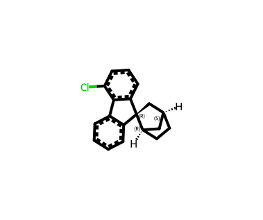 Clc1cccc2c1-c1ccccc1[C@]21C[C@H]2CC[C@@H]1C2